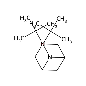 CC(C)(C)CN1C2CC1CN(C(C)(C)C)C2